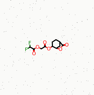 O=C(COC(=O)C(F)F)OC1CCC2CC1OC2=O